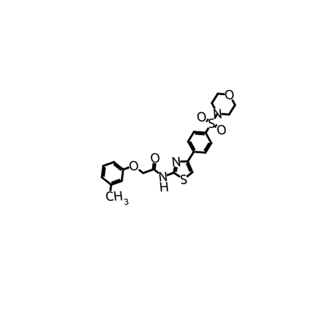 Cc1cccc(OCC(=O)Nc2nc(-c3ccc(S(=O)(=O)N4CCOCC4)cc3)cs2)c1